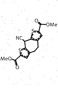 COC(=O)c1cc2c(s1)C(C#N)c1sc(C(=O)OC)cc1CC2